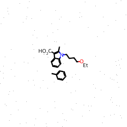 CCOCCCCn1c(C)c(C(=O)O)c2ccccc21.Cc1ccccc1